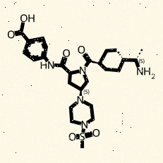 C[C@H](N)[C@H]1CC[C@H](C(=O)N2C[C@@H](N3CCN(S(C)(=O)=O)CC3)CC2C(=O)Nc2ccc(C(=O)O)cc2)CC1